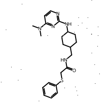 CN(C)c1ccnc(NC2CCC(CNC(=O)CSc3ccccc3)CC2)n1